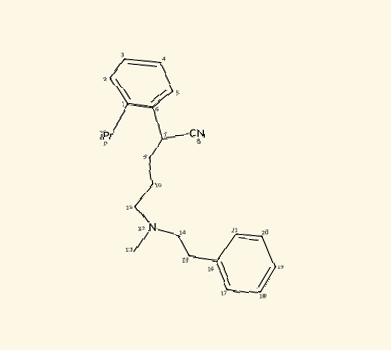 CC(C)c1ccccc1C(C#N)CCCN(C)CCc1ccccc1